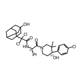 CC(C)[C@@H](NC(=O)C(Cl)(Cl)C12CC3CC(CC(O)(C3)C1)C2)C(=O)N1CC[C@](O)(c2ccc(Cl)cc2)C(C)(C)C1